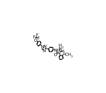 CCc1ccccc1N(C(=O)Nc1ccc(-c2ncn(-c3ccc(OC(F)(F)F)cc3)n2)cc1)C(N)=S